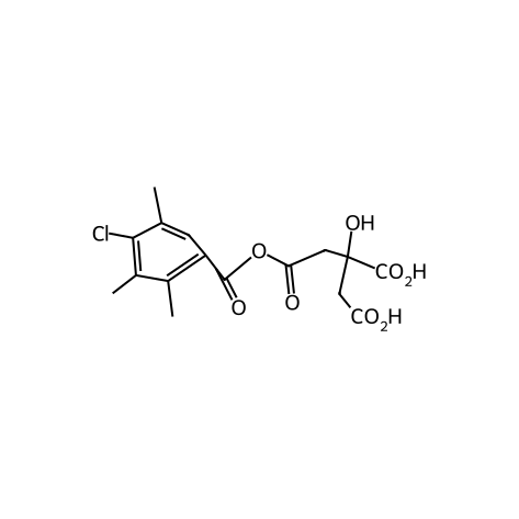 Cc1cc(C(=O)OC(=O)CC(O)(CC(=O)O)C(=O)O)c(C)c(C)c1Cl